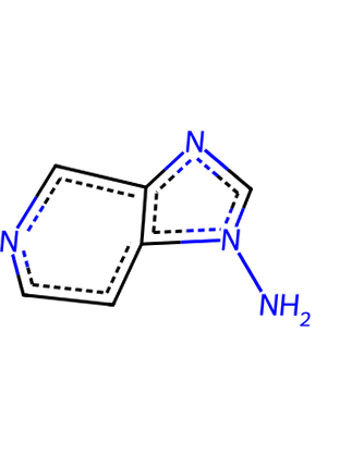 Nn1cnc2cnccc21